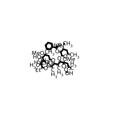 CC[C@@H](OO[C@H](C)[C@@H](OC1C[C@@](C)(OC)[C@@H](O)[C@H](C)O1)[C@H](C)[C@@H](OC1O[C@H](C)C[C@H](N(C)C)[C@H]1OC(=O)c1ccccc1)[C@@](C)(C[C@@H](C)OO)OC)[C@@](C)(O)C=O